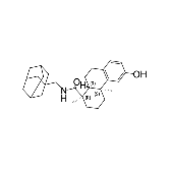 C[C@@]1(C(=O)NCC23CC4CC(CC(C4)C2)C3)CCC[C@]2(C)c3cc(O)ccc3CC[C@@H]12